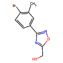 Cc1cc(-c2noc(CO)n2)ccc1Br